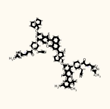 Cc1nsc(/C=C/C(=O)N2CCN(c3nc(OC[C@@]45CCCN4C(c4cc(Cl)c6c(-c7ncc8c(N9CCN(C(=O)/C=C/c%10nc(C)ns%10)[C@@H](CC#N)C9)nc(OCC9%10CCCN9CCC%10)nc8c7F)cccc6c4)[C@H](F)C5)nc4c(F)c(-c5nc(N)cc(C)c5C(F)(F)F)ncc34)C[C@@H]2CC#N)n1